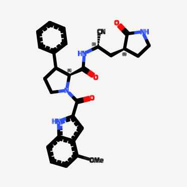 COc1cccc2[nH]c(C(=O)N3CCC(c4ccccc4)[C@H]3C(=O)N[C@H](C#N)C[C@@H]3CCNC3=O)cc12